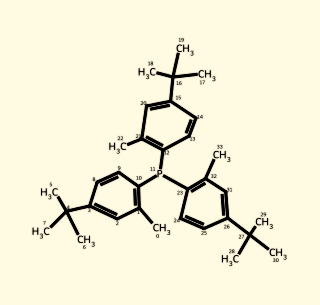 Cc1cc(C(C)(C)C)ccc1P(c1ccc(C(C)(C)C)cc1C)c1ccc(C(C)(C)C)cc1C